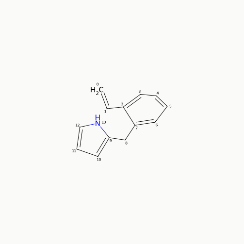 C=Cc1ccccc1Cc1ccc[nH]1